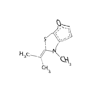 CC(C)=C1Sc2occc2N1C